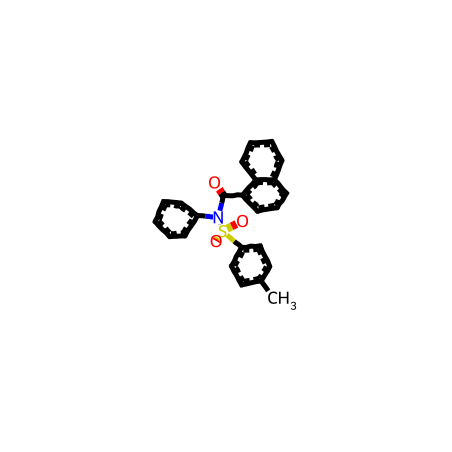 Cc1ccc(S(=O)(=O)N(C(=O)c2cccc3ccccc23)c2ccccc2)cc1